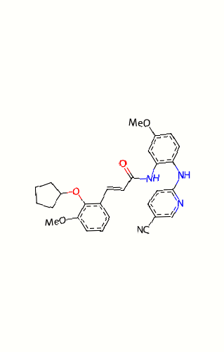 COc1ccc(Nc2ccc(C#N)cn2)c(NC(=O)/C=C/c2cccc(OC)c2OC2CCCC2)c1